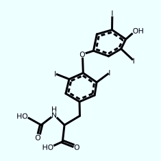 O=C(O)NC(Cc1cc(I)c(Oc2cc(I)c(O)c(I)c2)c(I)c1)C(=O)O